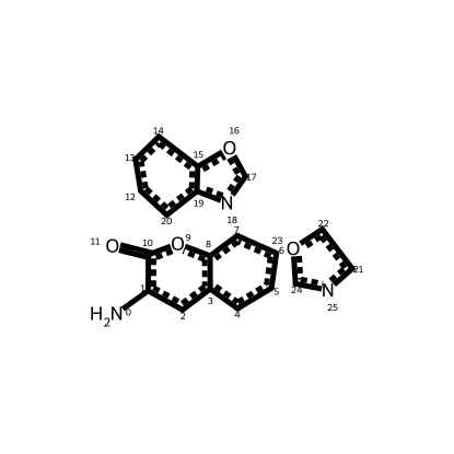 Nc1cc2ccccc2oc1=O.c1ccc2ocnc2c1.c1cocn1